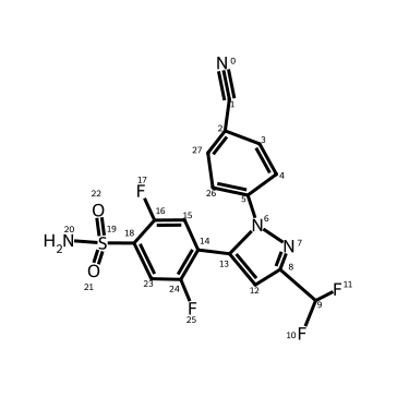 N#Cc1ccc(-n2nc(C(F)F)cc2-c2cc(F)c(S(N)(=O)=O)cc2F)cc1